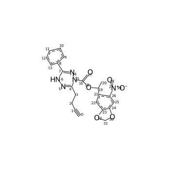 C#CCCC1=NNC(c2ccccc2)=NN1C(=O)OC(C)c1cc2c(cc1[N+](=O)[O-])OCO2